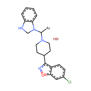 Br.CC(=O)C(N1CCC(c2noc3cc(Cl)ccc23)CC1)N1CNc2ccccc21